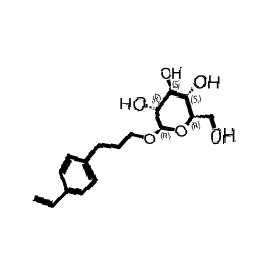 C=Cc1ccc(CCCO[C@@H]2O[C@H](CO)[C@@H](O)[C@H](O)[C@H]2O)cc1